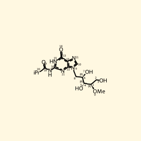 CO[C@H](CO)[C@H](O)[C@H](O)Cn1cnc2c(=O)[nH]c(NC(=O)C(C)C)nc21